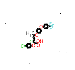 CC(/C=C/CC(Oc1ccc(Cl)cc1Cl)C(=O)O)Oc1ccc(Oc2ccc(C(F)(F)F)cc2)cc1